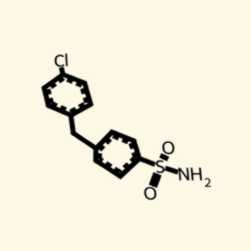 NS(=O)(=O)c1ccc(Cc2ccc(Cl)cc2)cc1